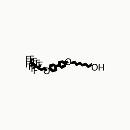 OCCCCCCCCOc1ccc(-c2ccc(OCCC(F)(F)C(F)(F)C(F)(F)C(F)(F)F)cc2)cc1